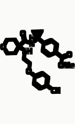 COC(=O)c1ccc(C2(NC(=O)C3(NCCOc4ccc(C#N)cc4)CCOCC3)CC2)cc1